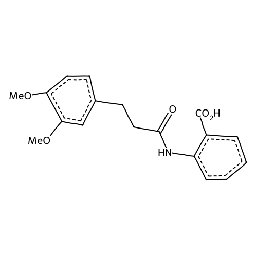 COc1ccc(CCC(=O)Nc2ccccc2C(=O)O)cc1OC